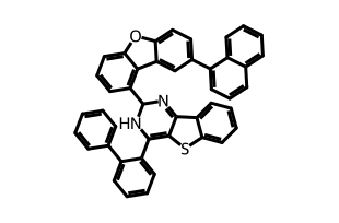 c1ccc(-c2ccccc2C2=c3sc4ccccc4c3=NC(c3cccc4oc5ccc(-c6cccc7ccccc67)cc5c34)N2)cc1